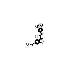 COc1ccc2c(NCc3ccc(S(C)(=O)=O)cc3)ncnc2c1